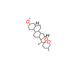 CO[C@@H]1CC[C@]2(C)C3CC[C@@]4(C)C(C[C@@H]5OC6(CCC(C)CO6)[C@@H](C)C54)C3CC[C@@H]2C1